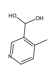 Cc1ccncc1C(O)O